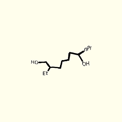 CCCC(O)CCCCC(CC)CO